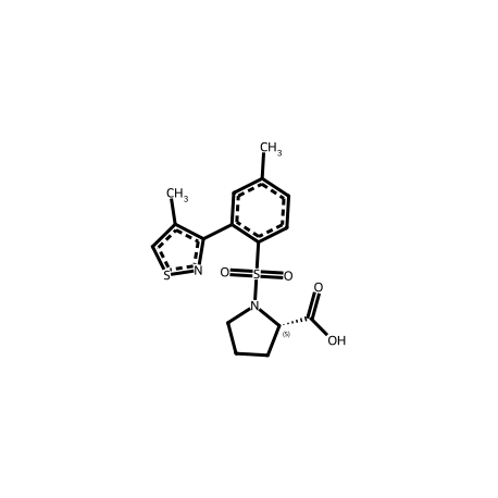 Cc1ccc(S(=O)(=O)N2CCC[C@H]2C(=O)O)c(-c2nscc2C)c1